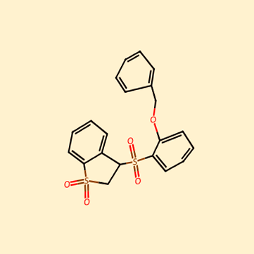 O=S1(=O)CC(S(=O)(=O)c2ccccc2OCc2ccccc2)c2ccccc21